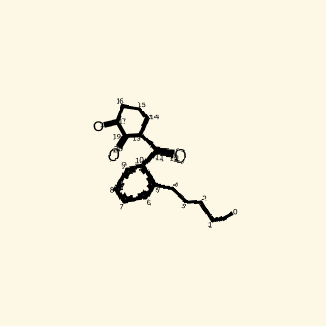 CCCCCc1ccccc1C(=O)C1CCCC(=O)C1=O